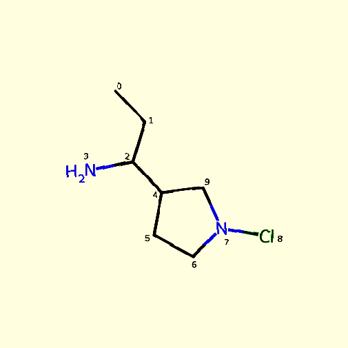 CCC(N)C1CCN(Cl)C1